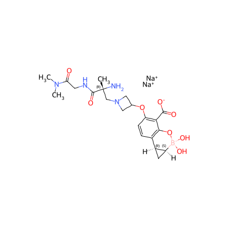 CN(C)C(=O)CNC(=O)[C@](C)(N)CN1CC(Oc2ccc3c(c2C(=O)[O-])O[B-](O)(O)[C@H]2C[C@@H]32)C1.[Na+].[Na+]